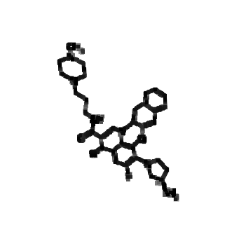 CN1CCN(CCCNC(=O)c2cn3c4c(c(N5CC[C@@H](N)C5)c(F)cc4c2=O)Oc2cc4ccccc4cc2-3)CC1